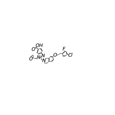 O=C(O)c1ccc2nc(CN3CCc4ccc(OCCc5ccc(Cl)cc5F)cc4C3)n(C[C@@H]3CCO3)c2c1